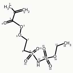 C=C(C)C(=O)OOCCS(=O)(=O)NS(=O)(=O)OCC